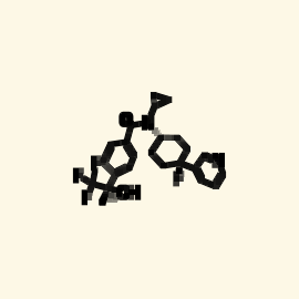 C[C@](O)(c1ccc(C(=O)N(C2CC2)[C@H]2CC[C@@](F)(c3cccnc3)CC2)cc1)C(F)(F)F